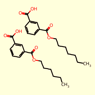 CCCCCCCOC(=O)c1cccc(C(=O)O)c1.CCCCCCOC(=O)c1cccc(C(=O)O)c1